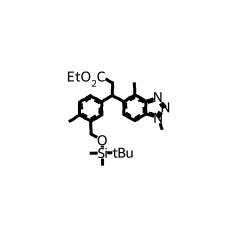 CCOC(=O)CC(c1ccc(C)c(CO[Si](C)(C)C(C)(C)C)c1)c1ccc2c(nnn2C)c1C